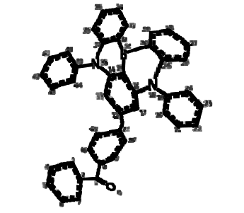 O=C(c1ccccc1)c1ccc(-c2cc3c4c(c2)N(c2ccccc2)c2ccccc2B4c2ccccc2N3c2ccccc2)cc1